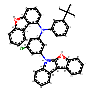 CC(C)(C)c1cccc(N(c2cc(Cl)cc(-n3c4ccccc4c4c5ccccc5oc43)c2)c2cccc3oc4ccccc4c23)c1